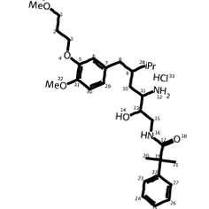 COCCCOc1cc(CC(CC(N)C(O)CNC(=O)C(C)(C)c2ccccc2)C(C)C)ccc1OC.Cl